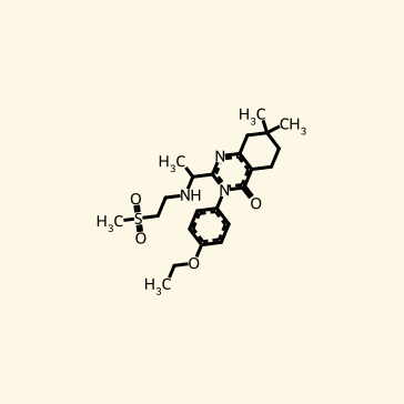 CCOc1ccc(-n2c(C(C)NCCS(C)(=O)=O)nc3c(c2=O)CCC(C)(C)C3)cc1